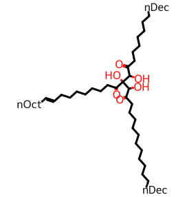 CCCCCCCCC=CCCCCCCCC(=O)C(O)(C(O)C(=O)CCCCCCCCCCCCCCCCC)C(O)C(=O)CCCCCCCCCCCCCCCCCCCCC